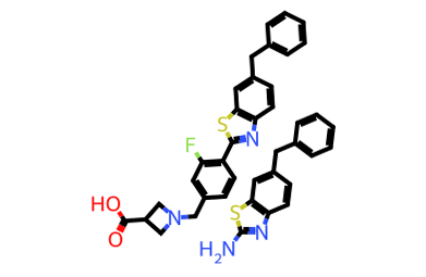 Nc1nc2ccc(Cc3ccccc3)cc2s1.O=C(O)C1CN(Cc2ccc(-c3nc4ccc(Cc5ccccc5)cc4s3)c(F)c2)C1